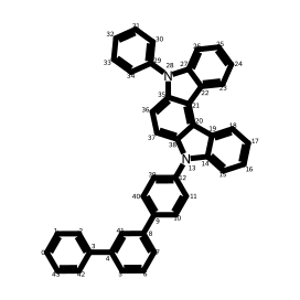 c1ccc(-c2cccc(-c3ccc(-n4c5ccccc5c5c6c7ccccc7n(-c7ccccc7)c6ccc54)cc3)c2)cc1